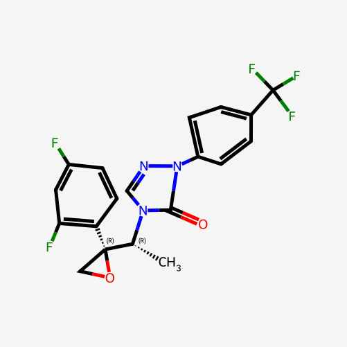 C[C@@H](n1cnn(-c2ccc(C(F)(F)F)cc2)c1=O)[C@]1(c2ccc(F)cc2F)CO1